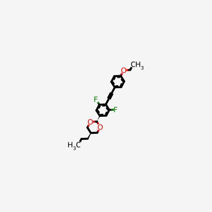 CCC[C@H]1CO[C@H](c2cc(F)c(C#Cc3ccc(OCC)cc3)c(F)c2)OC1